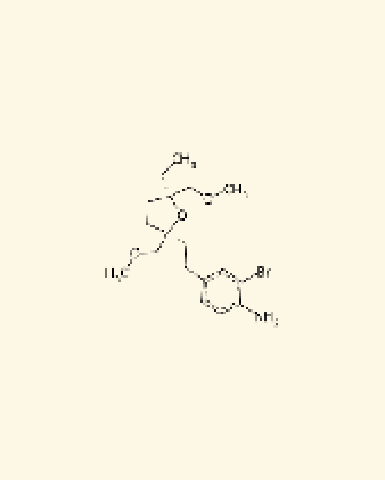 CC[C@@]1(COC)CC[C@](CCc2ccc(N)c(Br)c2)(COC)O1